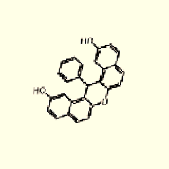 Oc1ccc2ccc3c(c2c1)C(c1ccccc1)c1c(ccc2ccc(O)cc12)O3